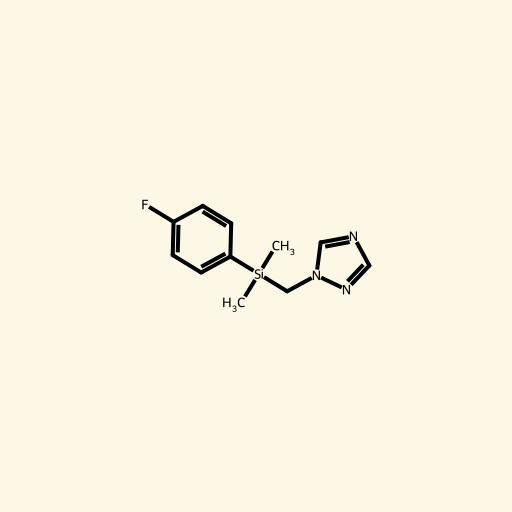 C[Si](C)(Cn1cncn1)c1ccc(F)cc1